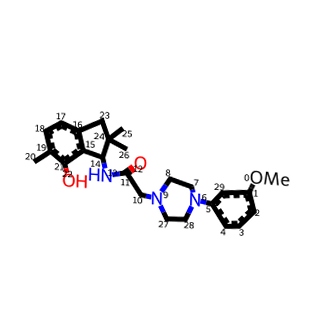 COc1cccc(N2CCN(CC(=O)NC3c4c(ccc(C)c4O)CC3(C)C)CC2)c1